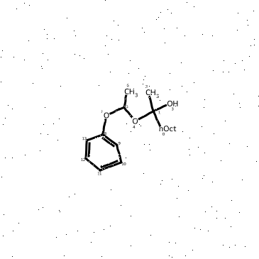 CCCCCCCCC(C)(O)OC(C)Oc1ccccc1